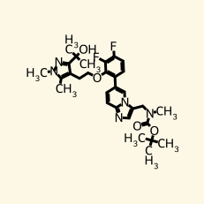 Cc1c(CCOc2c(-c3ccc4ncc(CN(C)C(=O)OC(C)(C)C)n4c3)ccc(F)c2F)c(C(C)(C)O)nn1C